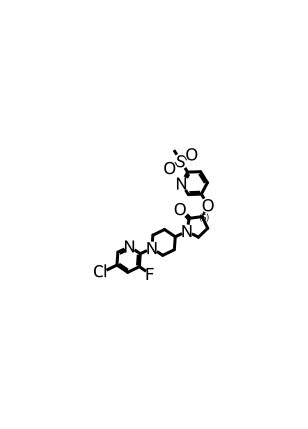 CS(=O)(=O)c1ccc(O[C@H]2CCN(C3CCN(c4ncc(Cl)cc4F)CC3)C2=O)cn1